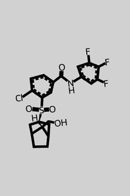 O=C(Nc1cc(F)c(F)c(F)c1)c1ccc(Cl)c(S(=O)(=O)[C@H]2CC3CCC(C2)[C@@H]3CO)c1